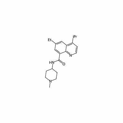 CCc1cc(C(=O)NC2CCN(C)CC2)c2nccc(C(C)C)c2c1